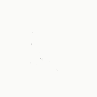 CC(C)NC(=O)c1c(I)cccc1C(=O)Nc1ccc(OCC(F)(F)F)nc1